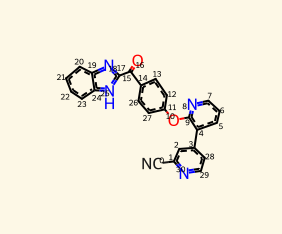 N#Cc1cc(-c2cccnc2Oc2ccc(C(=O)c3nc4ccccc4[nH]3)cc2)ccn1